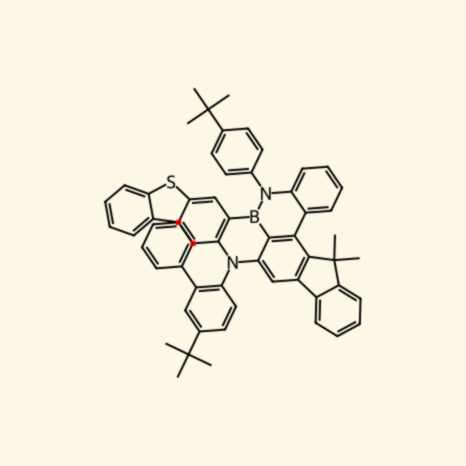 CC(C)(C)c1ccc(N2B3c4cc5sc6ccccc6c5cc4N(c4ccc(C(C)(C)C)cc4-c4ccccc4)c4cc5c(c(c43)-c3ccccc32)C(C)(C)c2ccccc2-5)cc1